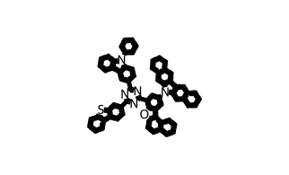 c1ccc(-n2c3ccccc3c3cc(-c4nc(-c5ccc6c(c5)sc5ccccc56)nc(-c5cc(-n6c7cc8ccccc8cc7c7cc8ccccc8cc76)cc6c5oc5ccc7ccccc7c56)n4)ccc32)cc1